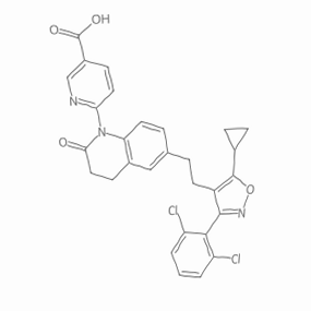 O=C(O)c1ccc(N2C(=O)CCc3cc(CCc4c(-c5c(Cl)cccc5Cl)noc4C4CC4)ccc32)nc1